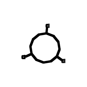 ClC1CCCC(Cl)CCCC(Cl)CCC1